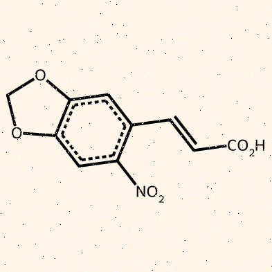 O=C(O)/C=C/c1cc2c(cc1[N+](=O)[O-])OCO2